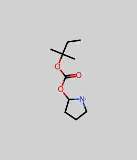 CCC(C)(C)OC(=O)OC1CCC[N]1